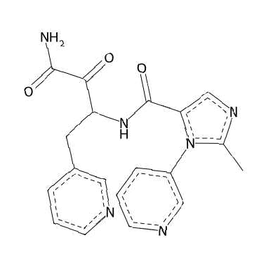 Cc1ncc(C(=O)NC(Cc2cccnc2)C(=O)C(N)=O)n1-c1cccnc1